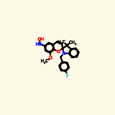 COc1cc(NO)cc2c1OC1(C=C2)N(Cc2ccc(F)cc2)c2ccccc2C1(C)C